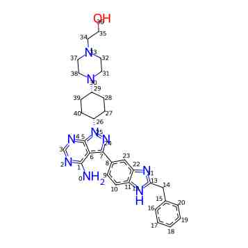 Nc1ncnc2c1c(-c1ccc3[nH]c(Cc4ccccc4)nc3c1)nn2[C@H]1CC[C@@H](N2CCN(CCO)CC2)CC1